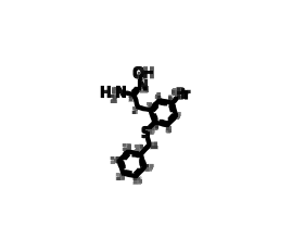 NC(Cc1cc(Br)ccc1SCc1ccccc1)=NO